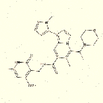 COc1cc(C)[nH]c(=O)c1CNC(=O)c1cc2c(-c3ccnn3C)ccn2c(C(C)N2CCOCC2)c1C